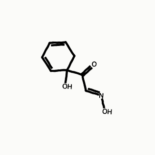 O=C(C=NO)C1(O)C=CC=CC1